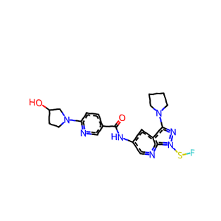 O=C(Nc1cnc2c(c1)c(N1CCCC1)nn2SF)c1ccc(N2CCC(O)C2)nc1